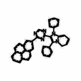 C1=CCN2C(=C1)N(c1ccccc1)C(c1ncnc(-c3cc4ccc5cccc6ccc(c3)c4c56)n1)=C2c1ccccc1